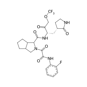 O=C(Nc1ccccc1F)C(=O)N1CC2CCCC2C1C(=O)N[C@@H](C[C@@H]1CCNC1=O)C(=O)COC(F)(F)F